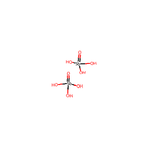 [O]=[Sb]([OH])([OH])[OH].[O]=[Sb]([OH])([OH])[OH]